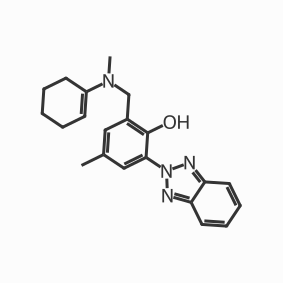 Cc1cc(CN(C)C2=CCCCC2)c(O)c(-n2nc3ccccc3n2)c1